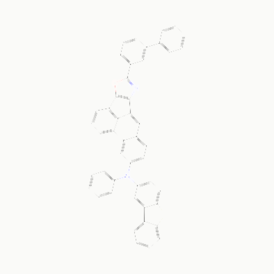 c1ccc(-c2cccc(-c3nc4c(o3)-c3cccc5c3c-4cc3ccc(N(c4ccccc4)c4ccc6sc7ccccc7c6c4)cc35)c2)cc1